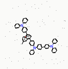 CC1=CC2c3c(-c4ccc(N(c5ccccc5)c5ccccc5)cc4)ccc(-c4ccc(N(c5ccccc5)c5ccc(-c6ccc(N(c7ccccc7)c7ccccc7)cc6)cc5)cc4)c3C1CC2C(C)C